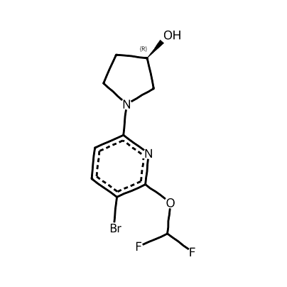 O[C@@H]1CCN(c2ccc(Br)c(OC(F)F)n2)C1